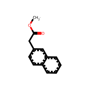 [CH2]OC(=O)Cc1ccc2ccccc2c1